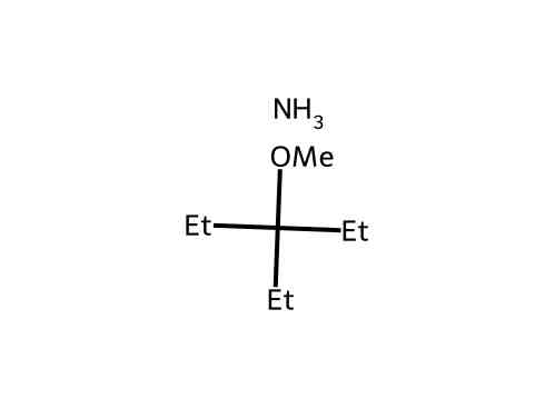 CCC(CC)(CC)OC.N